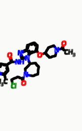 CC(=O)N1CCC(Oc2cccc3nc(NC(=O)c4ccnc(C)c4)n(C4CCCCN(C(=O)CCCl)C4)c23)CC1